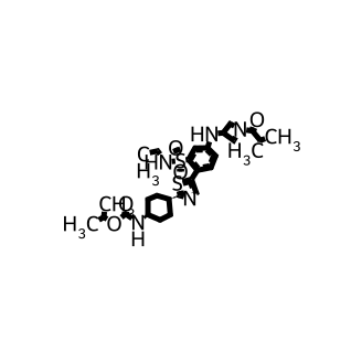 CCNS(=O)(=O)c1cc(NC2CN(C(=O)C(C)C)C2)ccc1-c1cnc([C@H]2CC[C@H](NC(=O)OC(C)C)CC2)s1